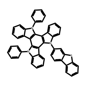 c1ccc(-n2c3ccccc3c3c2c2c4ccccc4n(-c4ccc5c(c4)sc4ccccc45)c2c2c4ccccc4n(-c4ccccc4)c32)cc1